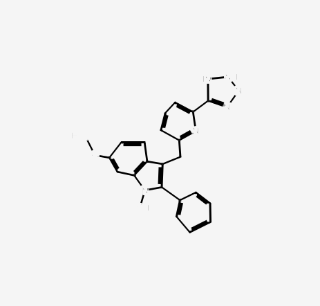 COc1ccc2c(Cc3cccc(C4=NNNN4)n3)c(-c3ccccc3)n(C)c2c1